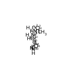 Cc1cccc(C)c1NCC(N)CC(O)COc1cccc2[nH]ncc12